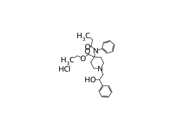 CCOC(=O)C1(N(C(=O)CC)c2ccccc2)CCN(CC(O)c2ccccc2)CC1.Cl